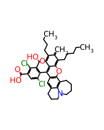 C=c1c(CCCC)cc2c(c1CCCCC)Oc1c(cc3c4c1CCCCN4CCC3)C=2c1c(Cl)cc(C(=O)O)c(Cl)c1C(=O)O